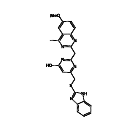 COc1ccc2nc(Cc3nc(O)cc(CSc4nc5ccccc5[nH]4)n3)nc(C)c2c1